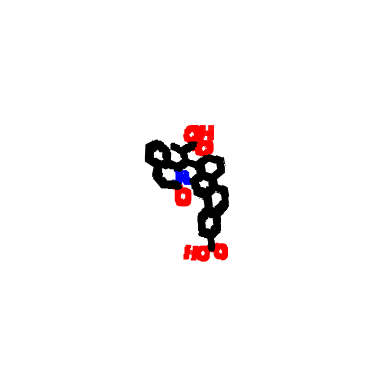 CC(C(=O)O)C(C1=c2ccc3c(c2CCC1)CC=c1cc(C(=O)O)ccc1=3)c1nc(=O)ccc2ccccc12